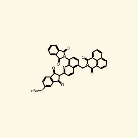 CCCCSc1ccc2c(c1)C(=O)C(c1ccc3c(CN4C(=O)c5cccc6cccc(c56)C4=O)ccc(N4C(=O)c5ccccc5C4=O)c3n1)C2=O